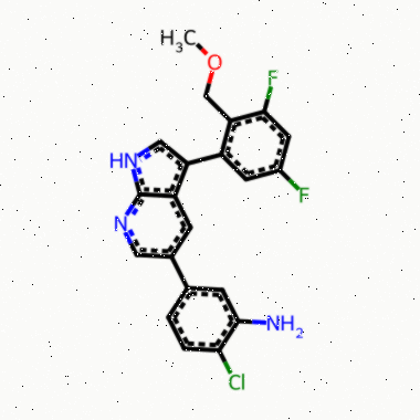 COCc1c(F)cc(F)cc1-c1c[nH]c2ncc(-c3ccc(Cl)c(N)c3)cc12